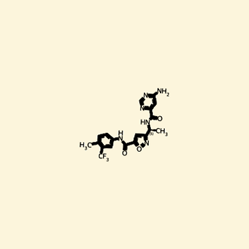 Cc1ccc(NC(=O)c2cc([C@H](C)NC(=O)c3cc(N)ncn3)no2)cc1C(F)(F)F